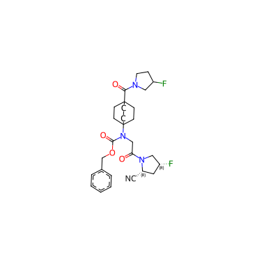 N#C[C@H]1C[C@@H](F)CN1C(=O)CN(C(=O)OCc1ccccc1)C12CCC(C(=O)N3CCC(F)C3)(CC1)CC2